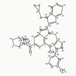 COc1cc(C(=O)N2CC3CCC2[C@@H]3N)cc2nc(-c3cc4cccnc4n3CC3CC3)n(Cc3cnn(-c4cccc(C)n4)c3)c12